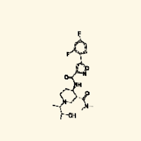 CC(O)C(C)N1CC[C@@H](NC(=O)c2cc(-c3ccc(F)cc3F)on2)[C@H](C(=O)N(C)C)C1